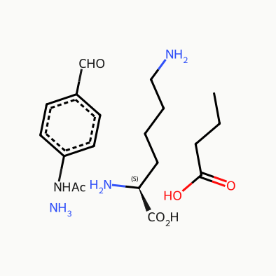 CC(=O)Nc1ccc(C=O)cc1.CCCC(=O)O.N.NCCCC[C@H](N)C(=O)O